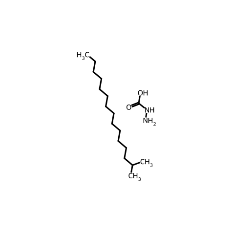 CCCCCCCCCCCCCC(C)C.NNC(=O)O